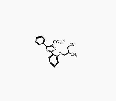 CC(CC#N)COc1ccccc1-c1nc(-c2ccccc2)c(C(=O)O)s1